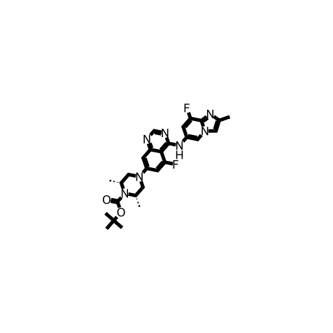 Cc1cn2cc(Nc3ncnc4cc(N5C[C@@H](C)N(C(=O)OC(C)(C)C)[C@@H](C)C5)cc(F)c34)cc(F)c2n1